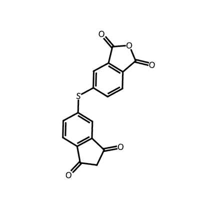 O=C1CC(=O)c2cc(Sc3ccc4c(c3)C(=O)OC4=O)ccc21